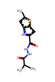 Cc1cc2[nH]c(C(=O)NNC(=O)C(C)C)cc2s1